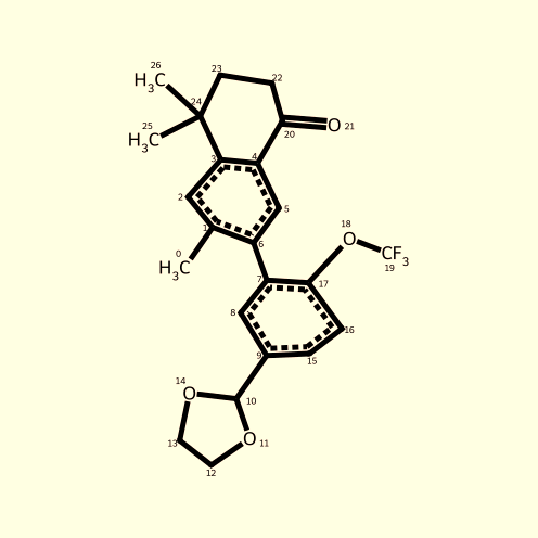 Cc1cc2c(cc1-c1cc(C3OCCO3)ccc1OC(F)(F)F)C(=O)CCC2(C)C